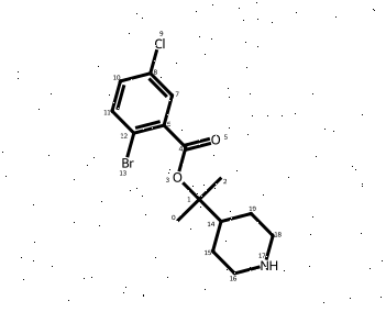 CC(C)(OC(=O)c1cc(Cl)ccc1Br)C1CCNCC1